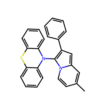 Cc1ccn2c(N3c4ccccc4Sc4ccccc43)c(-c3ccccc3)cc2c1